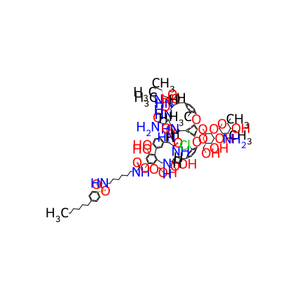 CCCCCCc1ccc(S(=O)(=O)NCCCCCCNC(=O)Oc2cc(O)c3c(c2)[C@@H](C(=O)O)NC(=O)[C@H]2NC(=O)[C@H](NC(=O)[C@@H]4NC(=O)[C@H](CC(N)=O)NC(=O)[C@H](NC(=O)[C@@H](CC(C)C)NC)[C@H](O)c5ccc(c(C)c5)Oc5cc4cc(c5O[C@@H]4O[C@H](CO)[C@@H](O)[C@H](O)[C@H]4O[C@H]4C[C@](C)(N)[C@H](O)[C@H](C)O4)Oc4ccc(cc4Cl)[C@H]2O)c2ccc(O)c-3c2)cc1